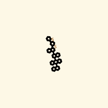 c1ccc2c(-c3c4ccccc4c(-c4ccc(-c5cc6sc7cc8sc9ccccc9c8cc7c6c6ccccc56)c5ccccc45)c4ccccc34)cccc2c1